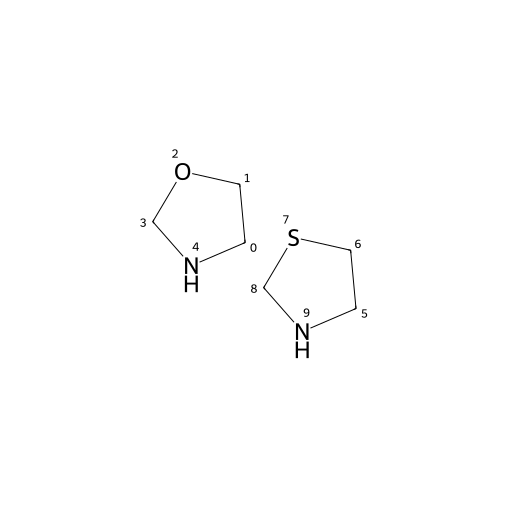 C1COCN1.C1CSCN1